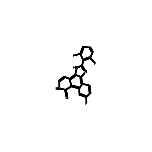 O=c1[nH]ccc2c3[nH]c(-c4c(F)cccc4F)nc3c3ccc(F)cc3c12